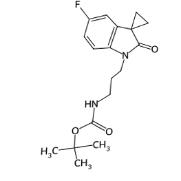 CC(C)(C)OC(=O)NCCCN1C(=O)C2(CC2)c2cc(F)ccc21